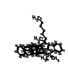 CCCCCC[Si]1(C)C2=C(c3ccc(-c4ccccc4)cc3)[CH](c3ccccc32)[Hf]([CH3])([CH3])[CH]2C(c3ccc(-c4ccccc4)cc3)=C1c1ccccc12